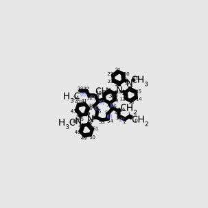 C=C/C=C\C(=C)C1=c2/cc(N3c4ccccc4N(C)c4ccccc43)cc/c2=C(\C(C)=C\C=C/C)/C=C/C(N2c3ccccc3N(C)c3ccccc32)C/C=C/1